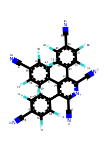 N#Cc1nc(C#N)c(-c2c(F)c(F)c(C#N)c(F)c2F)c(-c2c(F)c(F)c(C#N)c(F)c2F)c1-c1c(F)c(F)c(C#N)c(F)c1F